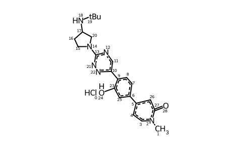 Cl.Cn1ccc(-c2ccc(-c3cnc(N4CCC(NC(C)(C)C)C4)nn3)c(O)c2)cc1=O